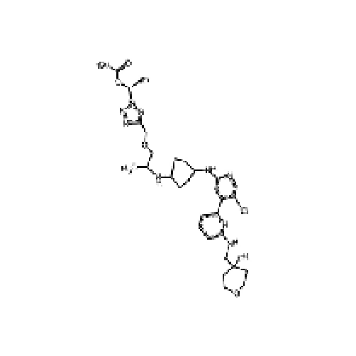 CC(C)[C@H](OC(=O)C(C)(C)C)n1nnc(COC[C@H](C)NC2CCC(Nc3cc(-c4cccc(NCC5(C#N)CCOCC5)n4)c(Cl)cn3)CC2)n1